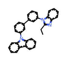 CCc1nc2ccccc2n1-c1cccc(-c2cccc(-n3c4ccccc4c4ccccc43)c2)c1